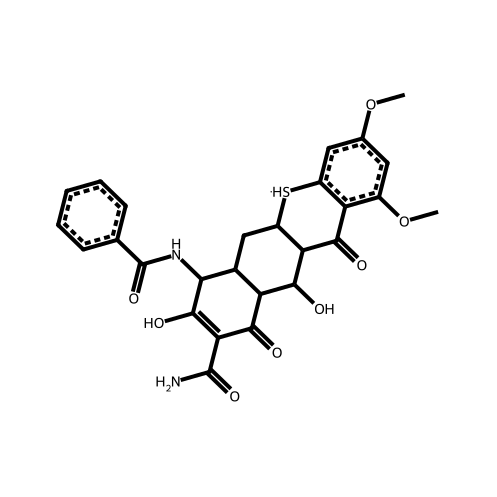 COc1cc(OC)c2c(c1)[SH]C1CC3C(NC(=O)c4ccccc4)C(O)=C(C(N)=O)C(=O)C3C(O)C1C2=O